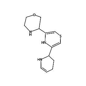 C1=CNC(C2=CSC=C(C3COCCN3)N2)CC1